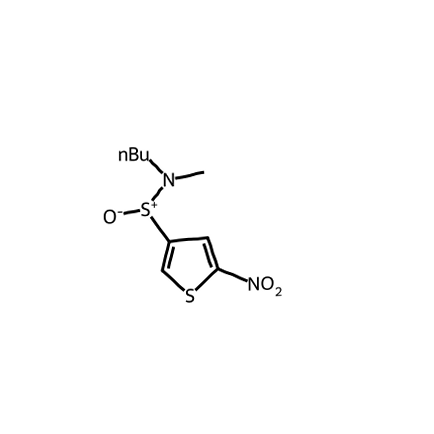 CCCCN(C)[S+]([O-])c1csc([N+](=O)[O-])c1